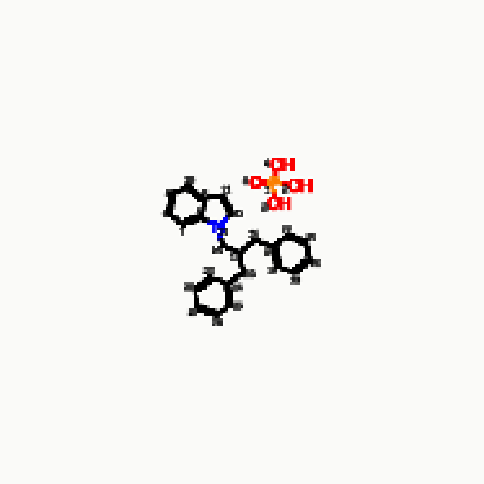 O=P(O)(O)O.[c]1ccc2c(c1)ccn2CC(Cc1ccccc1)Cc1ccccc1